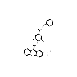 Cc1cc(C(=O)OCc2ccccc2)cc(C)c1OC(=O)c1c2ccccc2nc2ccc(OP(C)(C)=O)cc12